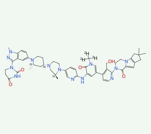 [2H]C([2H])([2H])n1cc(-c2ccnc(N3CCn4c(cc5c4CC(C)(C)C5)C3=O)c2CO)cc(Nc2ccc(N3CCN([C@H]4CCN(c5ccc6c(c5)c(N5CCC(=O)NC5=O)nn6C)[C@@H](C)C4)C[C@@H]3C)cn2)c1=O